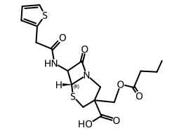 CCCC(=O)OCC1(C(=O)O)CS[C@@H]2C(NC(=O)Cc3cccs3)C(=O)N2C1